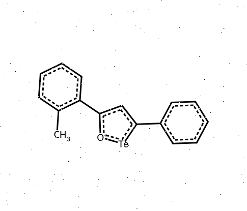 Cc1ccccc1-c1cc(-c2ccccc2)[te][o+]1